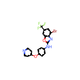 FC(F)(F)c1cc(Br)c2nc(Nc3ccc(Oc4ccncc4)cc3)oc2c1